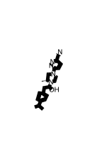 CC(C)c1ccc(CC(O)N2CCN(c3ccc(C#N)nn3)C[C@H]2C)cc1